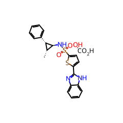 C[C@H]1[C@H](NS(=O)(=O)c2ccc(-c3nc4ccccc4[nH]3)s2)[C@H]1c1ccccc1.O=C(O)O